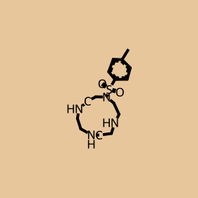 Cc1ccc(S(=O)(=O)N2CCNCCNCCNCC2)cc1